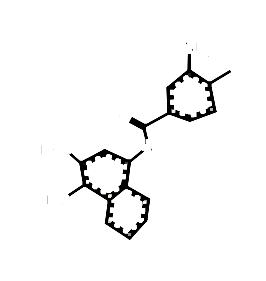 Cc1ccc(C(=O)Nc2cc(S(=O)(=O)O)c(O)c3ccccc23)cc1N